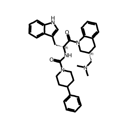 CN(C)C[C@H]1Cc2ccccc2N(C(=O)[C@@H](Cc2c[nH]c3ccccc23)NC(=O)N2CCC(c3ccccc3)CC2)C1